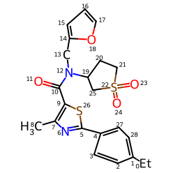 CCc1ccc(-c2nc(C)c(C(=O)N(Cc3ccco3)C3CCS(=O)(=O)C3)s2)cc1